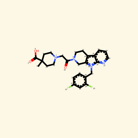 CC1(C(=O)O)CCN(CC(=O)N2CCc3c(n(Cc4ccc(F)cc4F)c4ncccc34)C2)CC1